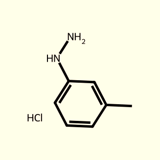 Cc1cccc(NN)c1.Cl